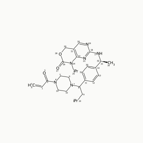 C=CC(=O)N1CCN(C(CC(C)C)c2ccc([C@H](C)Nc3ncc4c(n3)N(C(C)C)C(=O)OC4)cc2)CC1